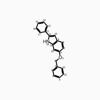 c1ccc(COc2ccc3cc(-c4ccccc4)[nH]c3c2)cc1